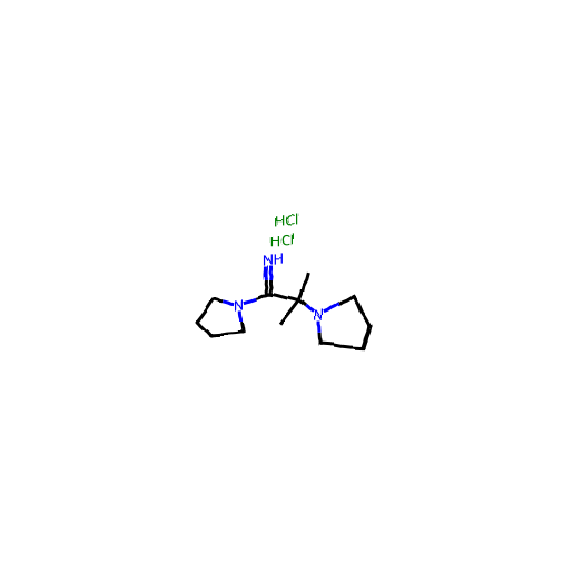 CC(C)(C(=N)N1CCCC1)N1CCCC1.Cl.Cl